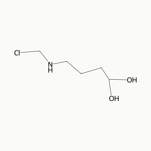 OC(O)CCCNCCl